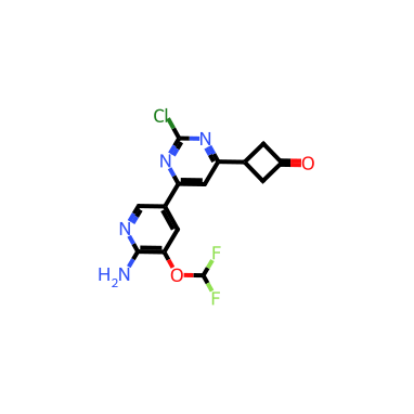 Nc1ncc(-c2cc(C3CC(=O)C3)nc(Cl)n2)cc1OC(F)F